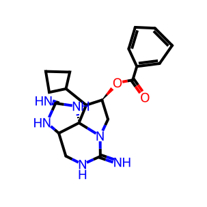 N=C1NC2CNC(=N)N3C[C@H](OC(=O)c4ccccc4)C(C4CCC4)[C@]23N1